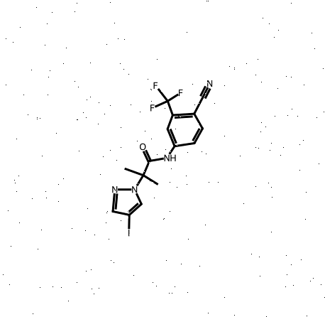 CC(C)(C(=O)Nc1ccc(C#N)c(C(F)(F)F)c1)n1cc(I)cn1